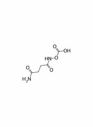 NC(=O)CCC(=O)NOC(=O)O